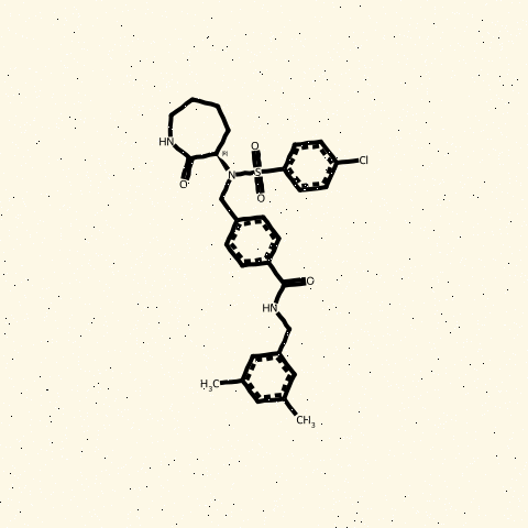 Cc1cc(C)cc(CNC(=O)c2ccc(CN([C@@H]3CCCCNC3=O)S(=O)(=O)c3ccc(Cl)cc3)cc2)c1